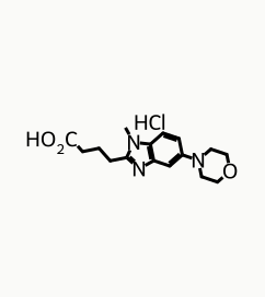 Cl.Cn1c(CCCC(=O)O)nc2cc(N3CCOCC3)ccc21